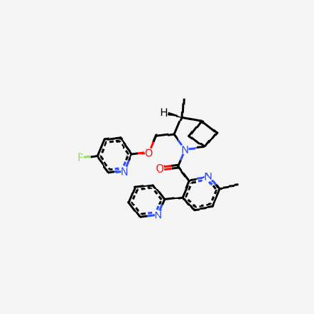 Cc1ccc(-c2ccccn2)c(C(=O)N2C3CC(C3)[C@@H](C)C2COc2ccc(F)cn2)n1